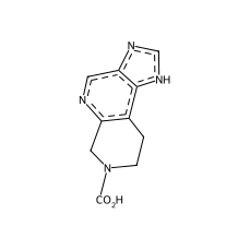 O=C(O)N1CCc2c(ncc3nc[nH]c23)C1